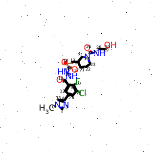 Cn1cnc(-c2cc(Cl)c(F)c(C(=O)NNS(=O)(=O)CC3CCCN(C(=O)NCCO)C3)c2)c1